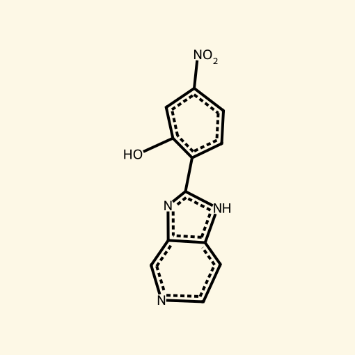 O=[N+]([O-])c1ccc(-c2nc3cnccc3[nH]2)c(O)c1